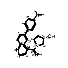 CN(C)c1ccc(-c2ccc3nccc(C(=N)N4CC[C@H](O)C4)c3c2)cc1